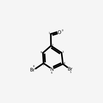 O=[C]c1cc(Br)nc(Br)c1